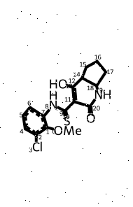 COc1c(Cl)cccc1NC(=S)C1=C(O)C2CCCC2NC1=O